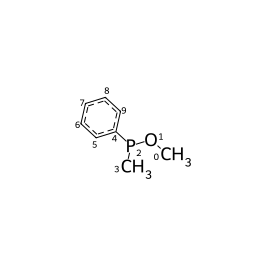 COP(C)c1ccccc1